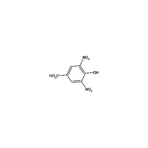 O=C(O)c1cc([N+](=O)[O-])c(O)c([N+](=O)[O-])c1